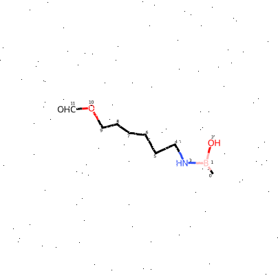 CB(O)NCCCCCCOC=O